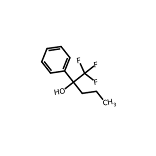 CCCC(O)(c1ccccc1)C(F)(F)F